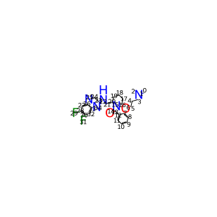 CN(C)CCCOc1ccccc1C(=O)N1CCCCC1CNc1cnc2cc(F)c(F)cc2n1